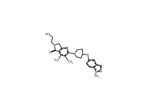 Cc1c(N2CCC(Oc3ccc4c(cnn4C)c3)CC2)nc2c(c1C)C(=O)N(CCO)C2